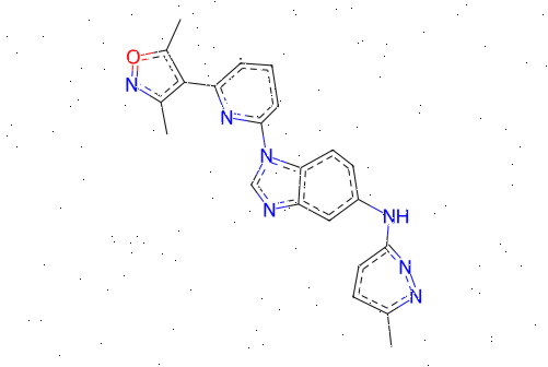 Cc1ccc(Nc2ccc3c(c2)ncn3-c2cc[c]c(-c3c(C)noc3C)n2)nn1